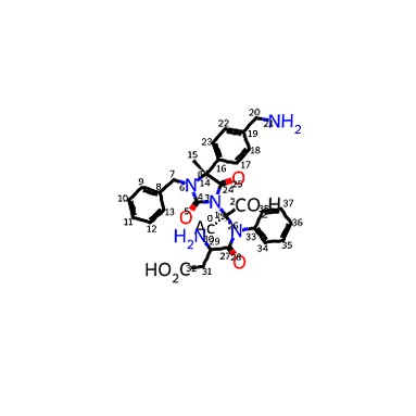 CC(=O)[C@@](C(=O)O)(N1C(=O)N(Cc2ccccc2)[C@](C)(c2ccc(CN)cc2)C1=O)N(C(=O)C(N)CC(=O)O)c1ccccc1